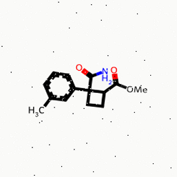 COC(=O)C1CCC1(C(N)=O)c1cccc(C)c1